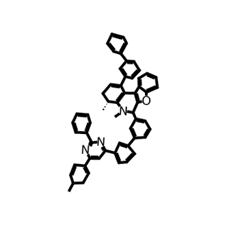 CC1C=CC(c2cc(-c3cccc(-c4cccc(C5c6oc7ccccc7c6C6=C([C@H](C)CC=C6c6cccc(-c7ccccc7)c6)N5C)c4)c3)nc(-c3ccccc3)n2)=CC1